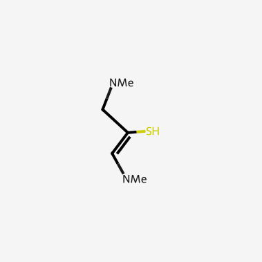 CN/C=C(\S)CNC